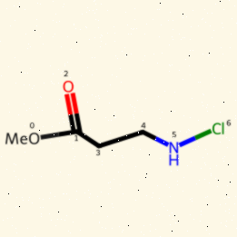 COC(=O)CCNCl